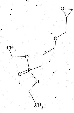 CCOP(=O)(CCCOCC1CO1)OCC